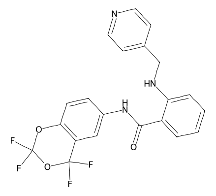 O=C(Nc1ccc2c(c1)C(F)(F)OC(F)(F)O2)c1ccccc1NCc1ccncc1